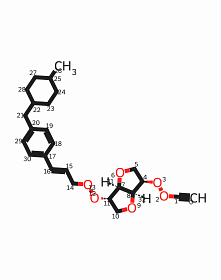 C#COO[C@@H]1CO[C@H]2[C@@H]1OC[C@@H]2OOC/C=C/c1ccc(CC2CCC(C)CC2)cc1